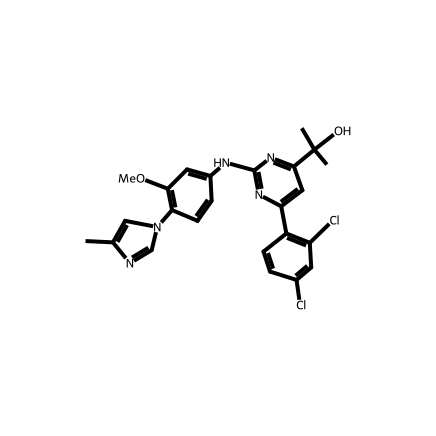 COc1cc(Nc2nc(-c3ccc(Cl)cc3Cl)cc(C(C)(C)O)n2)ccc1-n1cnc(C)c1